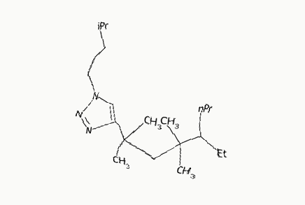 CCCC(CC)C(C)(C)CC(C)(C)c1cn(CCC(C)C)nn1